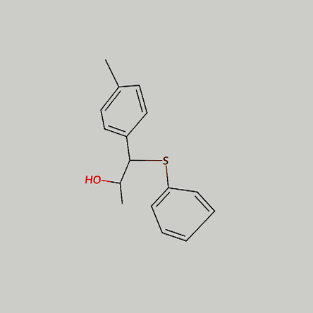 Cc1ccc(C(Sc2ccccc2)C(C)O)cc1